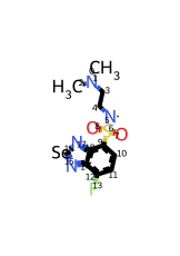 CN(C)CC[N]S(=O)(=O)c1ccc(F)c2n[se]nc12